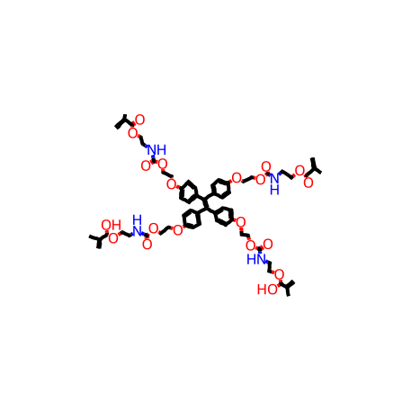 C=C(C)C(=O)OCCNC(=O)OCCOc1ccc(C(=C(c2ccc(OCCOC(=O)NCCOC(O)C(=C)C)cc2)c2ccc(OCCOC(=O)NCCOC(O)C(=C)C)cc2)c2ccc(OCCOC(=O)NCCOC(=O)C(=C)C)cc2)cc1